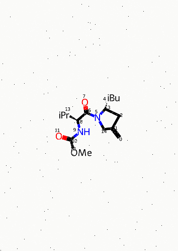 C=C1CC([C@@H](C)CC)N(C(=O)[C@@H](NC(=O)OC)C(C)C)C1